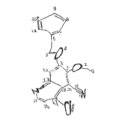 COc1c(OCc2ccccc2)cc2nccc(Cl)c2c1C#N